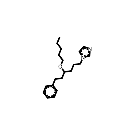 CCCCCOC(CCCn1ccnc1)CCc1ccccc1